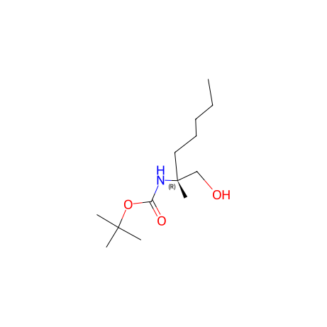 CCCCC[C@](C)(CO)NC(=O)OC(C)(C)C